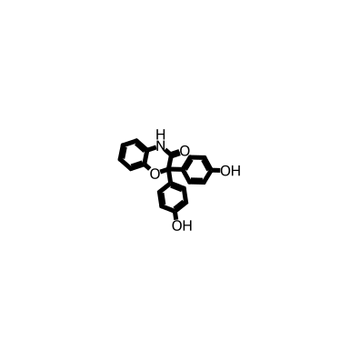 O=C1Nc2ccccc2OC1(c1ccc(O)cc1)c1ccc(O)cc1